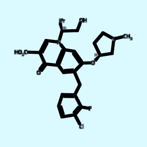 CC(C)[C@@H](CO)n1cc(C(=O)O)c(=O)c2cc(Cc3cccc(Cl)c3F)c(O[C@H]3CCN(C)C3)cc21